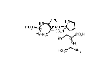 CC(C)C[C@H](N)C(=O)O.CC(N[C@@H](C)C(=O)O)=C(C)C(=O)O.NCC(=O)O.O=C(O)[C@@H]1CCCN1